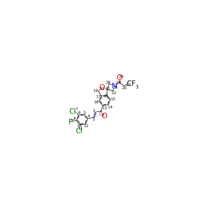 O=C(/C=C/c1cc(Cl)c(F)c(Cl)c1)c1ccc2c(c1)COC21CN(C(=O)CC(F)(F)F)C1